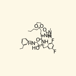 CCCCC1(CC[C@@H](NC(=O)NC)C(=O)N[C@@H](Cc2cc(F)cc(F)c2)[C@@H](O)CNCc2cccc(CC)c2)OCCO1